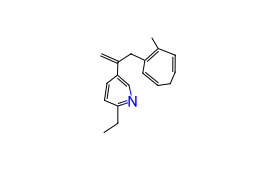 C=C(CC1=C(C)C=CCC=C1)c1ccc(CC)nc1